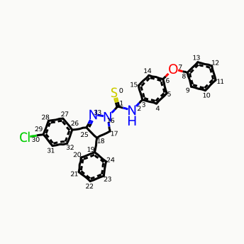 S=C(Nc1ccc(Oc2ccccc2)cc1)N1CC(c2ccccc2)C(c2ccc(Cl)cc2)=N1